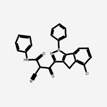 N#CC(C(=O)Nc1ccccc1)C(=O)c1nn(-c2ccccc2)c2c1Cc1c(Cl)cccc1-2